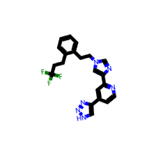 FC(F)(F)CCc1ccccc1CCn1cnc(-c2cc(-c3c[nH]nn3)ccn2)c1